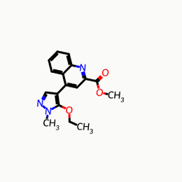 CCOc1c(-c2cc(C(=O)OC)nc3ccccc23)cnn1C